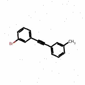 Cc1cccc(C#Cc2cccc(Br)c2)c1